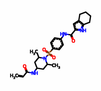 C=CC(=O)NC1CC(C)N(S(=O)(=O)c2ccc(NC(=O)c3cc4c([nH]3)CCCC4)cc2)C(C)C1